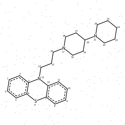 c1ccc2c(c1)Sc1ccccc1N2CCCN1CCC(N2CCCCC2)CC1